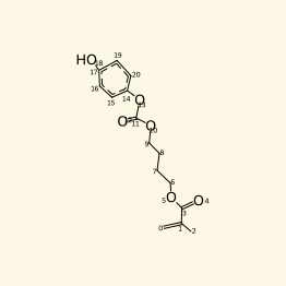 C=C(C)C(=O)OCCCCOC(=O)Oc1ccc(O)cc1